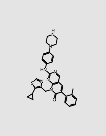 Cc1ccccc1-c1cc2cnc(Nc3ccc(N4CCNCC4)cc3)nc2n(Cc2ncsc2C2CC2)c1=O